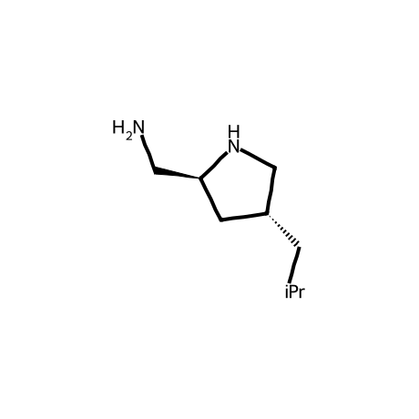 CC(C)C[C@H]1CN[C@H](CN)C1